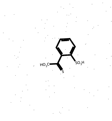 O=C(O)C(=S)c1ccccc1S(=O)(=O)O